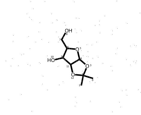 CC1(C)O[C]2OC(CO)C(O)C2O1